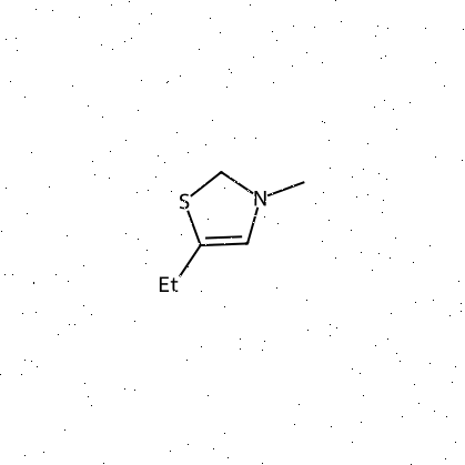 CCC1=CN(C)CS1